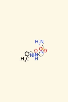 Cc1cccc2c1NC(C(=O)NC1CCCN(S(=O)(=O)CCCN)C1)C2